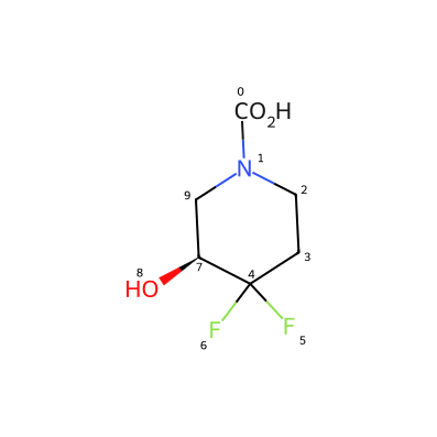 O=C(O)N1CCC(F)(F)[C@@H](O)C1